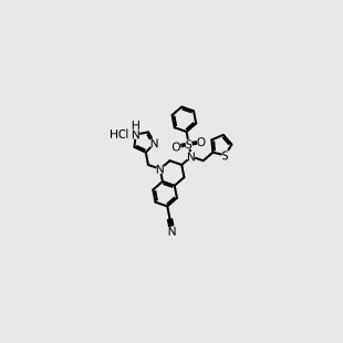 Cl.N#Cc1ccc2c(c1)CC(N(Cc1cccs1)S(=O)(=O)c1ccccc1)CN2Cc1c[nH]cn1